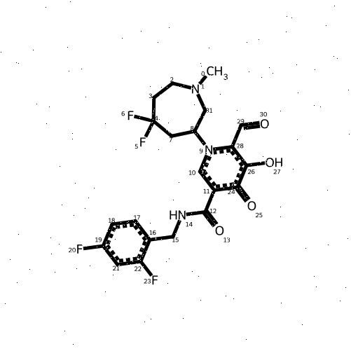 CN1CCC(F)(F)CC(n2cc(C(=O)NCc3ccc(F)cc3F)c(=O)c(O)c2C=O)C1